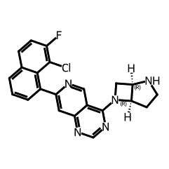 Fc1ccc2cccc(-c3cc4ncnc(N5C[C@H]6NCC[C@H]65)c4cn3)c2c1Cl